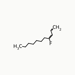 C=C/C=C(/F)CCCCCCC